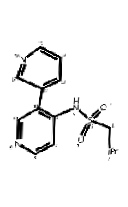 CC(C)CS(=O)(=O)Nc1ccncc1-c1cccnc1